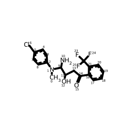 CN(c1ccc(Cl)cc1)C(N)C(O)CC(=O)c1ccccc1C(F)(F)F